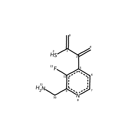 C=C(S)C(=C)c1ccnc(CN)c1F